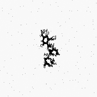 Cc1cc(Nc2nccc3nc(-c4c(Cl)cc(CN)cc4Cl)sc23)ncn1